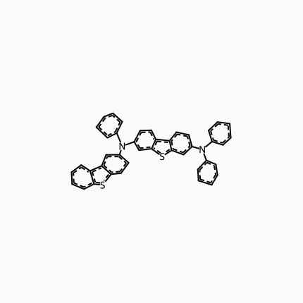 c1ccc(N(c2ccccc2)c2ccc3c(c2)sc2cc(N(c4ccccc4)c4ccc5sc6ccccc6c5c4)ccc23)cc1